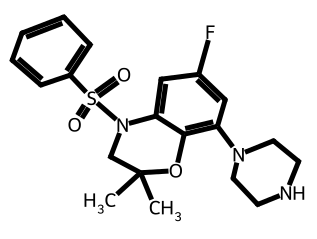 CC1(C)CN(S(=O)(=O)c2ccccc2)c2cc(F)cc(N3CCNCC3)c2O1